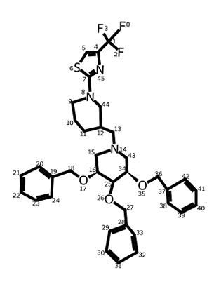 FC(F)(F)c1csc(N2CCCC(CN3C[C@H](OCc4ccccc4)C(OCc4ccccc4)[C@H](OCc4ccccc4)C3)C2)n1